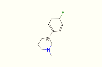 CN1CCC[C@H](c2ccc(F)cc2)C1